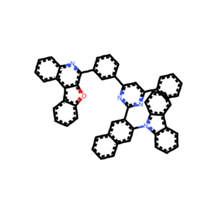 c1ccc(-c2cc(-c3cccc(-c4nc5ccccc5c5c4oc4ccccc45)c3)nc(-c3cc4ccccc4cc3-n3c4ccccc4c4ccccc43)n2)cc1